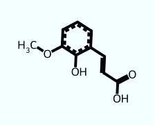 COc1cccc(C=CC(=O)O)c1O